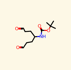 CC(C)(C)OC(=O)NC(CCC=O)CCC=O